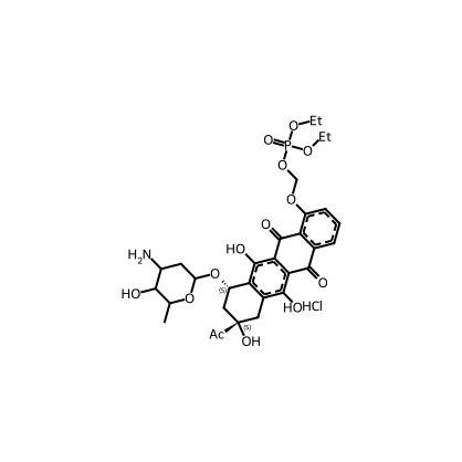 CCOP(=O)(OCC)OCOc1cccc2c1C(=O)c1c(O)c3c(c(O)c1C2=O)C[C@@](O)(C(C)=O)C[C@@H]3OC1CC(N)C(O)C(C)O1.Cl